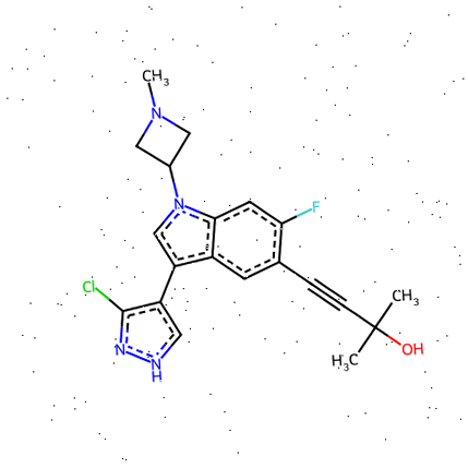 CN1CC(n2cc(-c3c[nH]nc3Cl)c3cc(C#CC(C)(C)O)c(F)cc32)C1